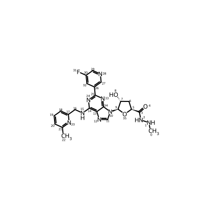 CNNC(=O)[C@@H]1C[C@@H](O)[C@H](n2cnc3c(NCc4cccc(C)n4)nc(-c4cncc(F)c4)nc32)O1